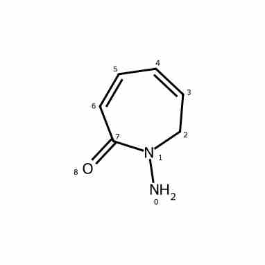 NN1CC=CC=CC1=O